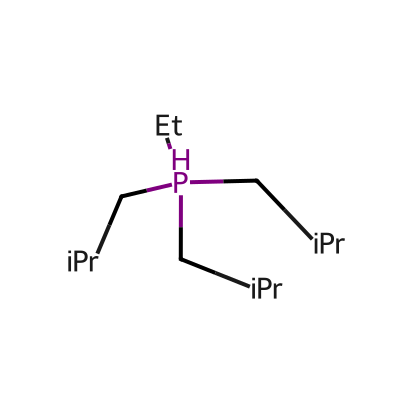 CC[PH](CC(C)C)(CC(C)C)CC(C)C